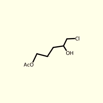 CC(=O)OC[CH]CC(O)CCl